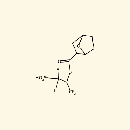 O=C(OC(C(F)(F)F)C(F)(F)S(=O)(=O)O)C1CC2CCC1O2